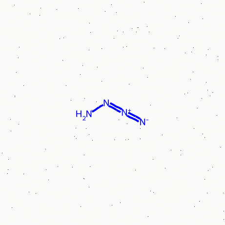 [N-]=[N+]=NN